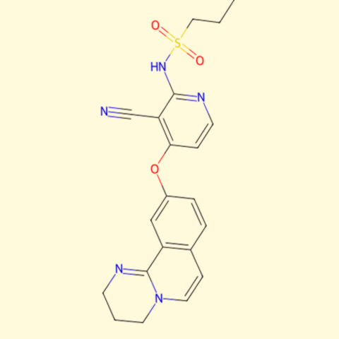 CCCS(=O)(=O)Nc1nccc(Oc2ccc3c(c2)C2=NCCCN2C=C3)c1C#N